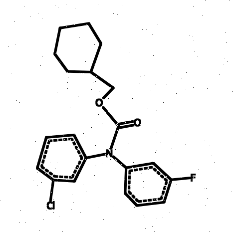 O=C(OCC1CCCCC1)N(c1cccc(F)c1)c1cccc(Cl)c1